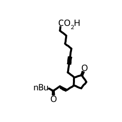 CCCCC(=O)C=CC1CCC(=O)C1CC#CCCCCC(=O)O